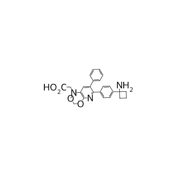 NC1(c2ccc(-c3nc4c(cc3-c3ccccc3)N(CC(=O)O)OCO4)cc2)CCC1